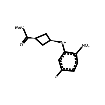 COC(=O)[C@H]1C[C@@H](Nc2cc(F)ccc2[N+](=O)[O-])C1